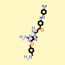 CN(C)c1ccc(N=Nc2ccc(C(=O)CCC(N)n3cnc4c(OCc5ccc(CN)cc5)nc(N)nc43)cc2)cc1